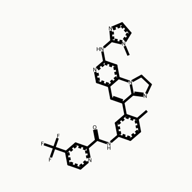 Cc1ccc(NC(=O)c2cc(C(F)(F)F)ccn2)cc1C1=Cc2cnc(Nc3nccn3C)cc2N2CCN=C12